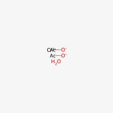 CC(=O)[O-].CC(=O)[O-].O.[Cr+2]